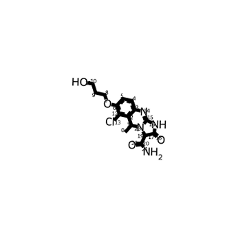 CC1c2c(ccc(OCCCO)c2Cl)N=C2NC(=O)C(C(N)=O)N21